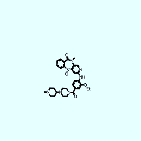 CCOc1cc(C(=O)N2CCN(C3CCN(C)CC3)CC2)ccc1Nc1cc2c(cn1)N(C)C(=O)c1ccccc1[S+]2[O-]